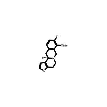 COc1c(O)ccc2c1CN1CCc3sccc3[C@@H]1C2